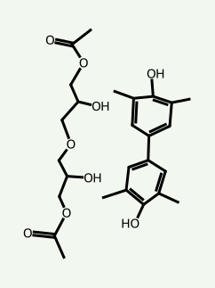 CC(=O)OCC(O)COCC(O)COC(C)=O.Cc1cc(-c2cc(C)c(O)c(C)c2)cc(C)c1O